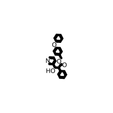 O=C(OCc1ccc(Oc2ccccc2)cc1)C(c1ccccc1)C(O)c1cccnc1